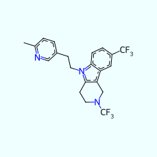 Cc1ccc(CCn2c3c(c4cc(C(F)(F)F)ccc42)CN(C(F)(F)F)CC3)cn1